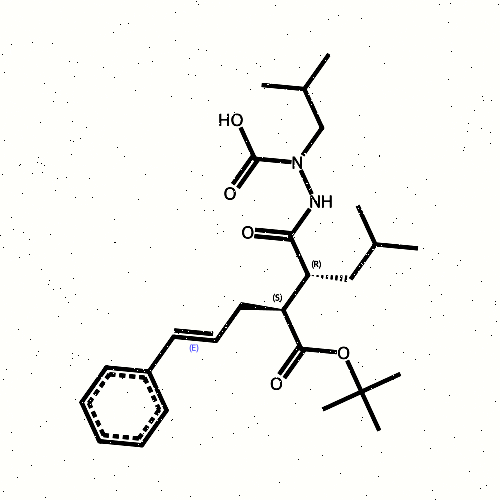 CC(C)C[C@@H](C(=O)NN(CC(C)C)C(=O)O)[C@H](C/C=C/c1ccccc1)C(=O)OC(C)(C)C